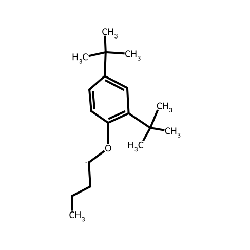 CCC[CH]Oc1ccc(C(C)(C)C)cc1C(C)(C)C